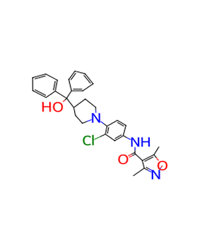 Cc1noc(C)c1C(=O)Nc1ccc(N2CCC(C(O)(c3ccccc3)c3ccccc3)CC2)c(Cl)c1